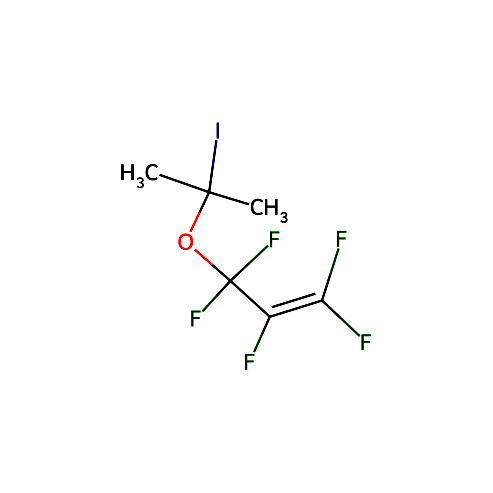 CC(C)(I)OC(F)(F)C(F)=C(F)F